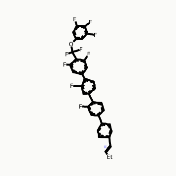 CC/C=C/c1ccc(-c2ccc(-c3ccc(-c4cc(F)c(C(F)(F)Oc5cc(F)c(F)c(F)c5)c(F)c4)c(F)c3)c(F)c2)cc1